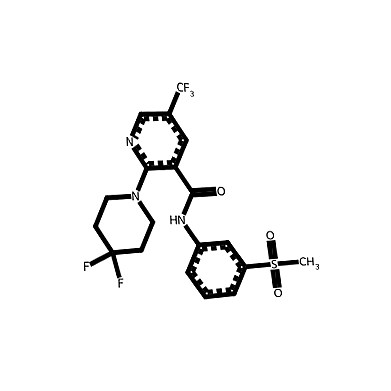 CS(=O)(=O)c1cccc(NC(=O)c2cc(C(F)(F)F)cnc2N2CCC(F)(F)CC2)c1